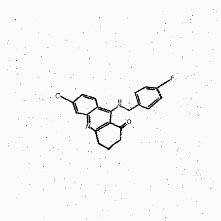 O=C1CCCc2nc3cc(Cl)ccc3c(NCc3ccc(F)cc3)c21